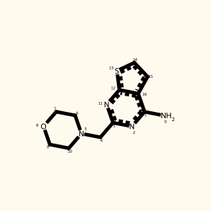 Nc1nc(CN2CCOCC2)nc2sccc12